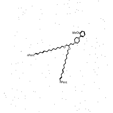 CCCCCC=CCC=CCCCCCCCCOCC(CCN1CCN(c2ccccc2OC)CC1)OCCCCCCCCC=CCC=CCCCCC